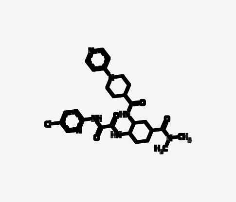 CN(C)C(=O)C1CCC(NC(=O)C(=O)Nc2ccc(Cl)cn2)C(NC(=O)C2CCN(c3ccncc3)CC2)C1